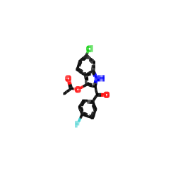 CC(=O)Oc1c(C(=O)c2ccc(F)cc2)[nH]c2cc(Cl)ccc12